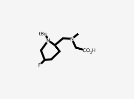 CN(CC(=O)O)CC1CCC(F)CN1C(C)(C)C